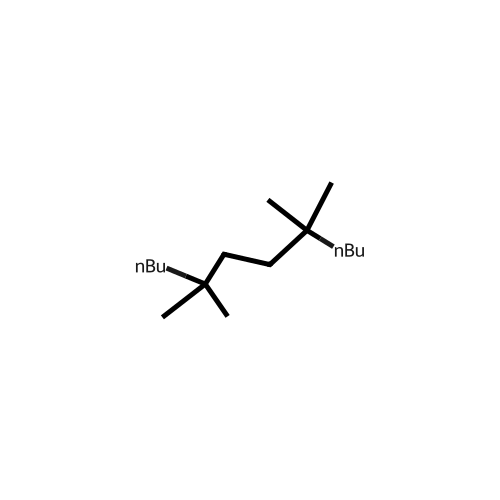 CCCCC(C)(C)CCC(C)(C)CCCC